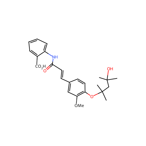 COc1cc(/C=C/C(=O)Nc2ccccc2C(=O)O)ccc1OC(C)(C)CC(C)(C)O